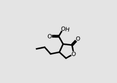 CCCC1COC(=O)C1C(=O)O